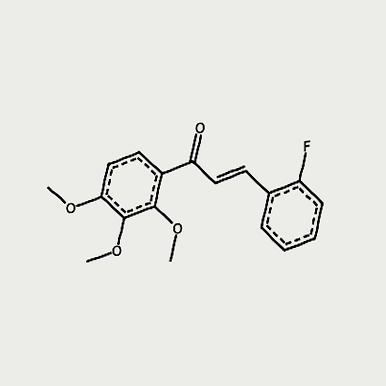 COc1ccc(C(=O)C=Cc2ccccc2F)c(OC)c1OC